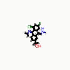 CN/C=C(\C)c1cc(C(C)(C)O)ccc1/C(=N\C(C)C)c1ccc(F)cc1Cl